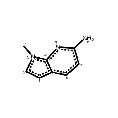 Cn1ccc2ccc(N)nc21